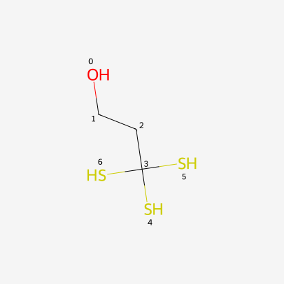 OCCC(S)(S)S